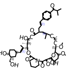 CO[C@H]1C[C@@H](C)C/C(C)=C/C(C/C=C/c2ccc(C(=O)C(C)C)cc2)C(=O)C[C@H](O)[C@@H](C)[C@@H](/C(C)=C/[C@@H]2CC[C@@H](O)[C@H](CO)C2)OC(=O)C2CCCCN2C(=O)C(=O)[C@]2(O)OC1[C@@H](OC)C[C@H]2C